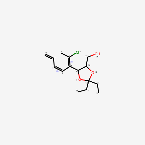 C=C/C=C\C(=C(/C)Cl)C1OC(CC)(CC)OC1CO